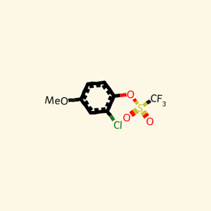 COc1ccc(OS(=O)(=O)C(F)(F)F)c(Cl)c1